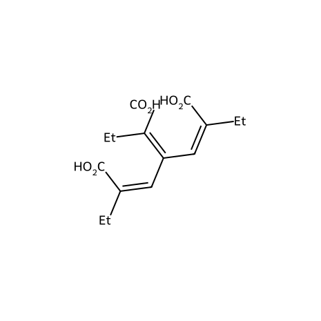 CCC(=CC(C=C(CC)C(=O)O)=C(CC)C(=O)O)C(=O)O